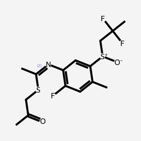 CC(=O)CS/C(C)=N\c1cc([S+]([O-])CC(C)(F)F)c(C)cc1F